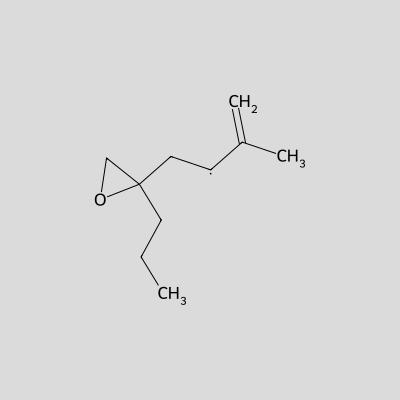 C=C(C)[CH]CC1(CCC)CO1